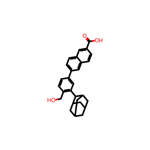 O=C(O)c1ccc2cc(-c3ccc(CO)c(C4C5CC6CC(C5)CC4C6)c3)ccc2c1